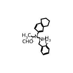 Cc1ccccc1CNN(c1ccc2c(c1)CCCC2)[C@@H](C)[C]=O